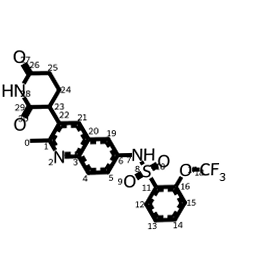 Cc1nc2ccc(NS(=O)(=O)c3ccccc3OC(F)(F)F)cc2cc1C1CCC(=O)NC1=O